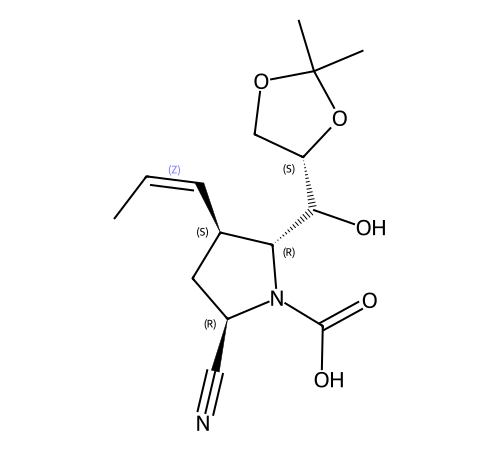 C/C=C\[C@@H]1C[C@H](C#N)N(C(=O)O)[C@H]1C(O)[C@@H]1COC(C)(C)O1